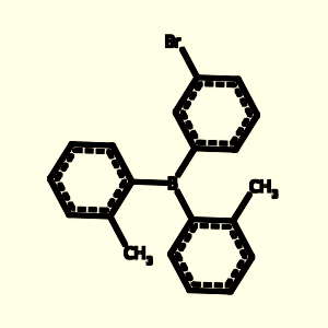 Cc1ccccc1B(c1cccc(Br)c1)c1ccccc1C